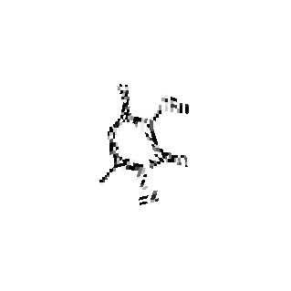 CCn1c(C)cc(=O)n(C(C)(C)C)c1=O